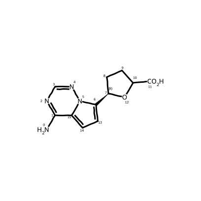 Nc1ncnn2c([C@H]3CCC(C(=O)O)O3)ccc12